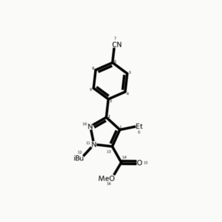 CCc1c(-c2ccc(C#N)cc2)nn(C(C)CC)c1C(=O)OC